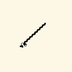 CCCCCCCCC=CCCCCCCCC(=O)OC(C)C